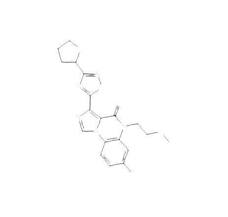 COCCn1c(=O)c2c(-c3nc(C4CCCO4)no3)ncn2c2ccc(F)cc21